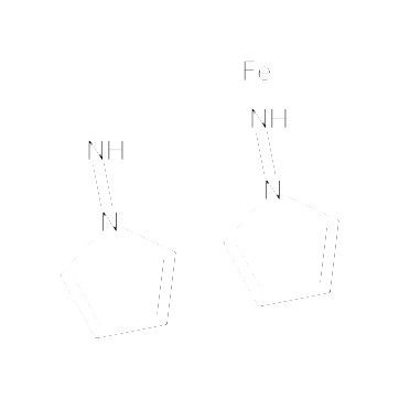 N=[N+]1C=CC=C1.N=[N+]1C=CC=C1.[Fe]